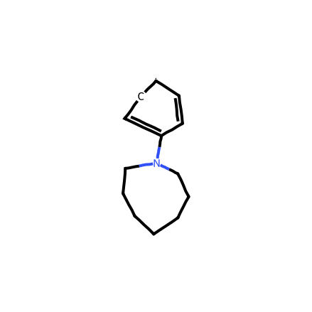 [CH]1C=CC(N2CCCCCCC2)=CC1